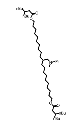 CCCCC(CCCC)CC(=O)OCCCCCCCCCCC(CCCCCCCCCCOC(=O)CC(CCCC)CCCC)CN(C)C(C)C